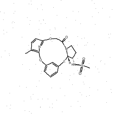 Cc1ccc2nc1Oc1cccc(c1)C[C@H]1[C@@H](NS(C)(=O)=O)CCN1C(=O)CO2